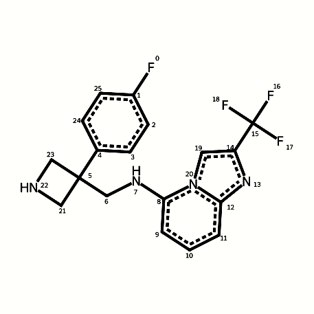 Fc1ccc(C2(CNc3cccc4nc(C(F)(F)F)cn34)CNC2)cc1